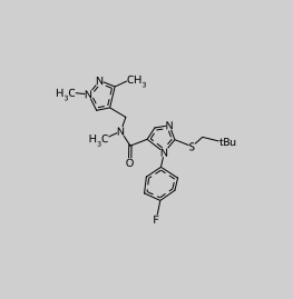 Cc1nn(C)cc1CN(C)C(=O)c1cnc(SCC(C)(C)C)n1-c1ccc(F)cc1